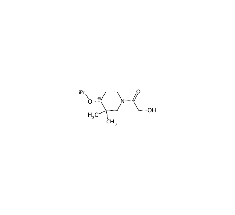 CC(C)O[C@@H]1CCN(C(=O)CO)CC1(C)C